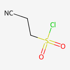 N#CCCS(=O)(=O)Cl